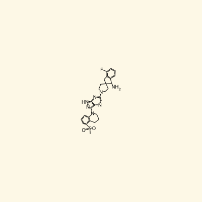 CS(=O)(=O)c1cccc2c1CCCN2c1n[nH]c2nc(N3CCC4(CC3)Cc3c(F)cccc3[C@H]4N)cnc12